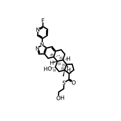 C[C@@]12C[C@H](O)[C@H]3[C@@H](CCC4=Cc5c(cnn5-c5ccc(F)nc5)C[C@@]43C)[C@@H]1CC[C]2C(=O)SCCO